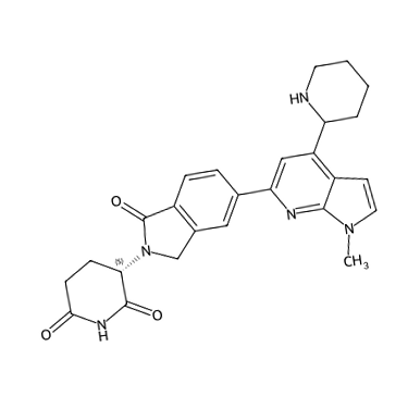 Cn1ccc2c(C3CCCCN3)cc(-c3ccc4c(c3)CN([C@H]3CCC(=O)NC3=O)C4=O)nc21